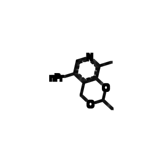 CCCc1cnc(C)c2c1COC(C)O2